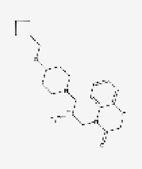 C[C@H](CN1CCC(OCC2CCC2)CC1)CN1C(=O)COc2ccccc21